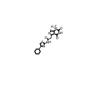 Cn1c(=O)[nH]c(=O)c2c(CC(=O)Nc3nc(-c4ccccc4)cs3)nsc21